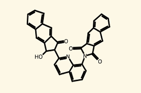 O=C1c2cc3ccccc3cc2C(O)C1c1ccc2cccc(N3C(=O)c4cc5ccccc5cc4C3=O)c2n1